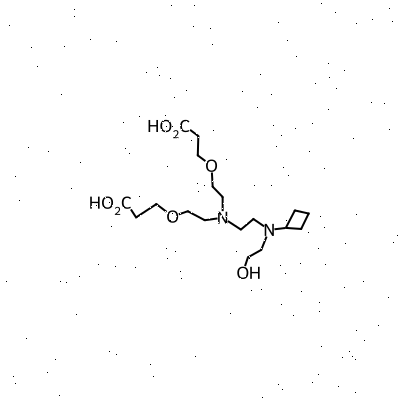 O=C(O)CCOCCN(CCOCCC(=O)O)CCN(CCO)C1CCC1